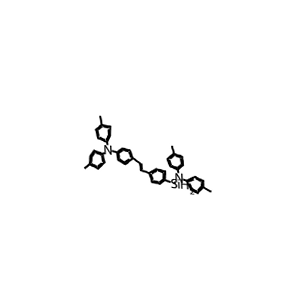 Cc1ccc(N([SiH2]c2ccc(C=Cc3ccc(N(c4ccc(C)cc4)c4ccc(C)cc4)cc3)cc2)c2ccc(C)cc2)cc1